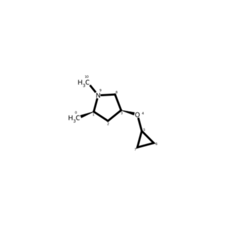 C[C@@H]1C[C@H](OC2CC2)CN1C